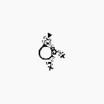 CC(C)(C)OC(=O)N[C@H]1CCCCC/C=C\C2C[C@@]2(C(=O)NS(=O)(=O)C2CC2)NC(=O)[C@@H]2C[C@@H](O[Si](C)(C)C(C)(C)C)CN2C1=O